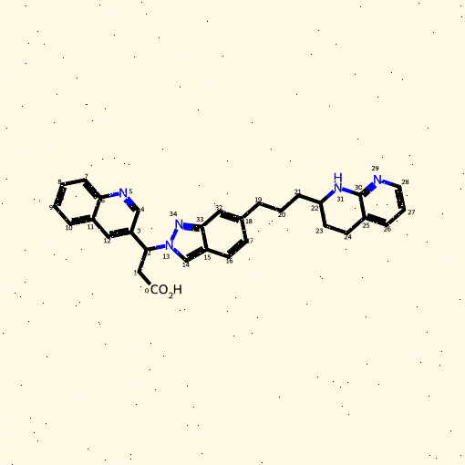 O=C(O)CC(c1cnc2ccccc2c1)n1cc2ccc(CCCC3CCc4cccnc4N3)cc2n1